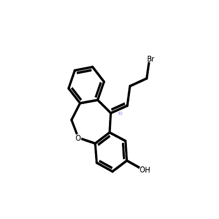 Oc1ccc2c(c1)/C(=C/CCBr)c1ccccc1CO2